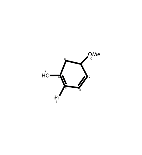 COC1C=CC(C(C)C)=C(O)C1